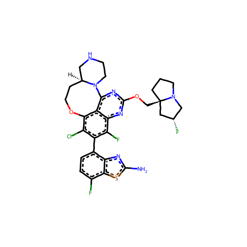 Nc1nc2c(-c3c(Cl)c4c5c(nc(OC[C@@]67CCCN6C[C@H](F)C7)nc5c3F)N3CCNC[C@@H]3CCO4)ccc(F)c2s1